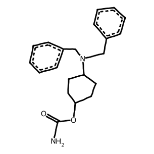 NC(=O)OC1CCC(N(Cc2ccccc2)Cc2ccccc2)CC1